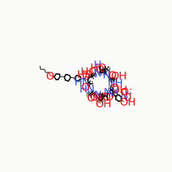 CCCCCOc1ccc(-c2ccc(-c3ccc(C(=O)N[C@H]4C[C@@H](O)[C@@H](O)NC(=O)[C@@H]5[C@@H](O)[C@@H](C)CN5C(=O)[C@H]([C@@H](C)O)NC(=O)[C@H]([C@H](O)[C@@H](O)c5ccc(O)c([N+](=O)[O-])c5)NC(=O)[C@@H]5C[C@@H](O)CN5C(=O)[C@H]([C@@H](C)O)NC4=O)cc3)cc2)cc1